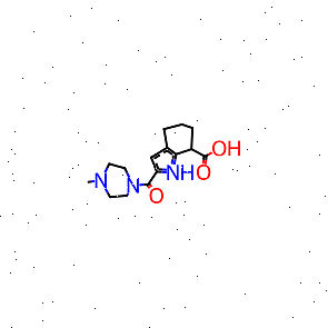 CN1CCN(C(=O)c2cc3c([nH]2)C(C(=O)O)CCC3)CC1